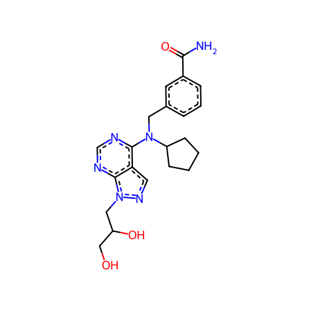 NC(=O)c1cccc(CN(c2ncnc3c2cnn3CC(O)CO)C2CCCC2)c1